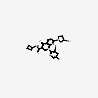 O=C(NC1CCC1)c1cn(-c2ncc(F)cc2F)c2nc(N3CCC(O)C3)ccc2c1=O